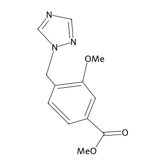 COC(=O)c1ccc(Cn2cncn2)c(OC)c1